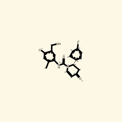 Cc1cc(Cl)c(CO)cc1NC(=O)N1C=CC(=O)C[C@H]1c1ccc(F)cc1